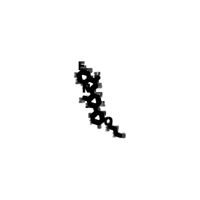 CCCCOc1cccc(-c2ccc(-c3cc(C)c4cc(F)ccc4n3)c(C)c2)c1